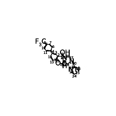 OC1c2cc(-c3ccc(C(F)(F)F)cc3)ccc2OC[C@@H]2CN(Cc3ncccn3)CCN12